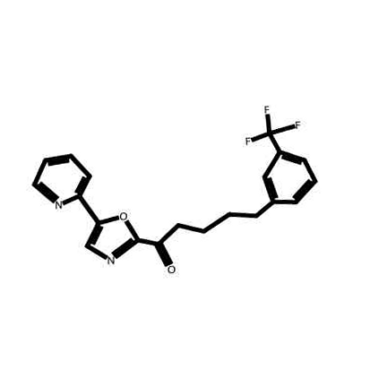 O=C(CCCCc1cccc(C(F)(F)F)c1)c1ncc(-c2ccccn2)o1